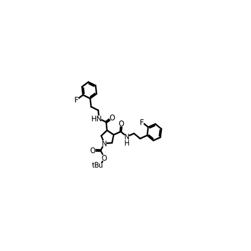 CC(C)(C)OC(=O)N1CC(C(=O)NCCc2ccccc2F)C(C(=O)NCCc2ccccc2F)C1